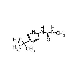 CNC(=O)Nc1ccc(C(C)(C)C)cn1